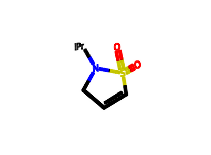 CC(C)N1CC=CS1(=O)=O